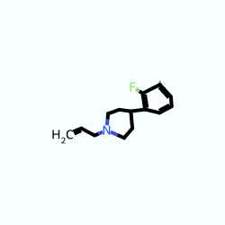 C=CCN1CCC(c2ccc[c]c2F)CC1